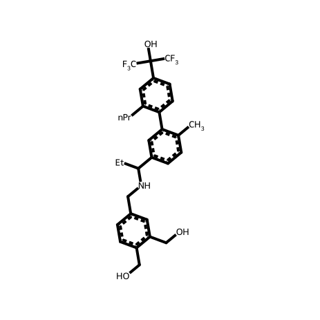 CCCc1cc(C(O)(C(F)(F)F)C(F)(F)F)ccc1-c1cc(C(CC)NCc2ccc(CO)c(CO)c2)ccc1C